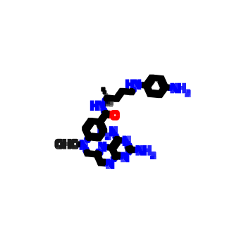 C[C@H](CCCNc1ccc(N)cc1)NC(=O)c1ccc(N(C=O)Cc2cnc3nc(N)nc(N)c3n2)cc1